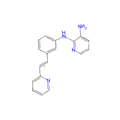 Nc1cccnc1Nc1cccc(/C=C/c2ccccn2)c1